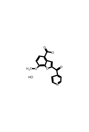 COc1ccc(C(=O)Cl)c2cc(C(=O)c3ccncc3)oc12.Cl